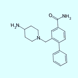 NC(=O)c1ccc(-c2ccccc2)c(CN2CCC(N)CC2)c1